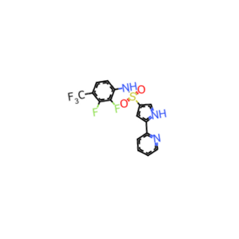 O=S(=O)(Nc1ccc(C(F)(F)F)c(F)c1F)c1c[nH]c(-c2ccccn2)c1